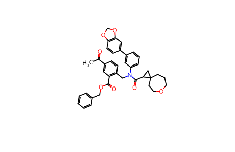 CC(=O)c1ccc(CN(C(=O)C2CC23CCCOCC3)c2cccc(-c3ccc4c(c3)OCO4)c2)c(C(=O)OCc2ccccc2)c1